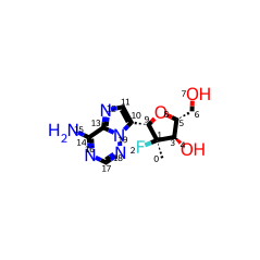 C[C@@]1(F)[C@H](O)[C@@H](CO)O[C@H]1c1cnc2c(N)ncnn12